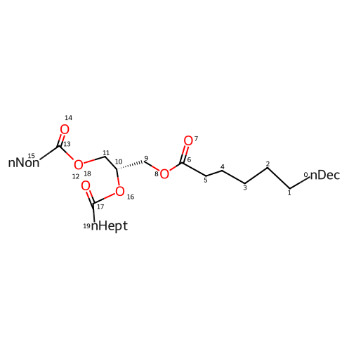 CCCCCCCCCCCCCCCC(=O)OC[C@@H](COC(=O)CCCCCCCCC)OC(=O)CCCCCCC